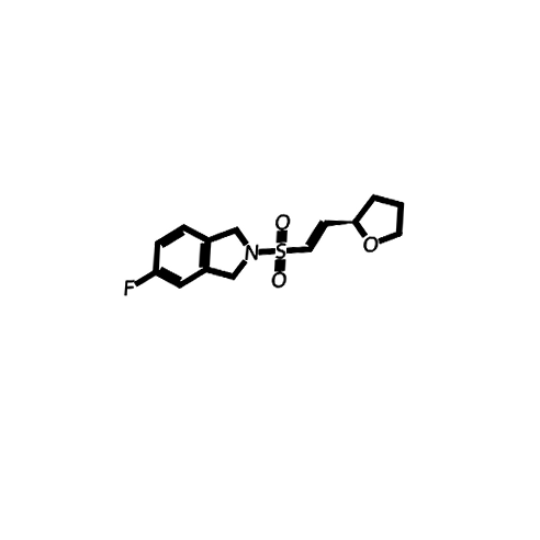 O=S(=O)(C=C[C@H]1CCCO1)N1Cc2ccc(F)cc2C1